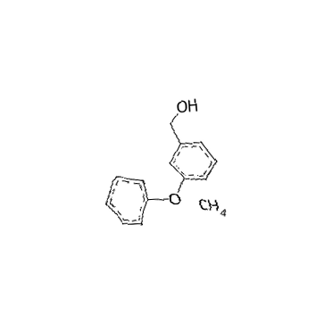 C.OCc1cccc(Oc2ccccc2)c1